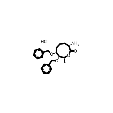 C[C@@H]1OC(=O)[C@@H](N)CCC[C@H](OCc2ccccc2)[C@H]1OCc1ccccc1.Cl